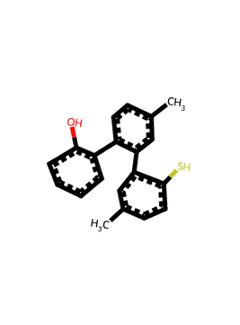 Cc1ccc(S)c(-c2cc(C)ccc2-c2ccccc2O)c1